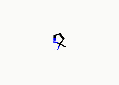 CC1(N)C=CC=N1